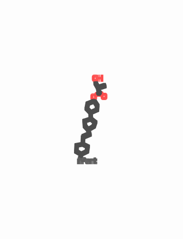 C=C(CO)C(=O)OC1CCC(C2CCC(/C=C/C3CCC(CCCCC)CC3)CC2)CC1